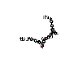 Cc1ccc(N(c2ccc(-c3ccc(-c4ccc(C(C)(C)CC(C)(C)C)cc4)cc3)cc2)c2ccc3c(c2)oc2cc4cc5c(cc4cc23)oc2cc(N(c3ccc(-c4ccc(-c6ccc(C(C)(C)CC(C)(C)C)cc6)cc4)cc3)c3ccc(C)cc3C)ccc25)c(C)c1